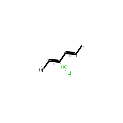 C/C=C/C=[CH]/[Hf].Cl.Cl